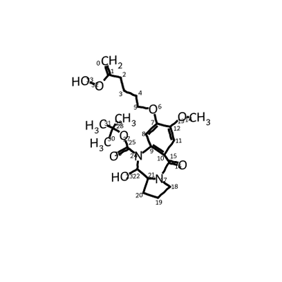 C=C(CCCCOc1cc2c(cc1OC)C(=O)N1CCCC1C(O)N2C(=O)OC(C)(C)C)OO